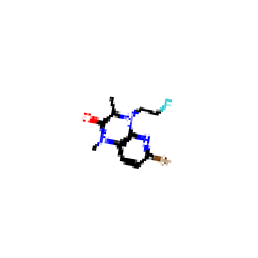 CC1C(=O)N(C)c2ccc(Br)nc2N1CCF